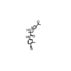 CC(=O)c1cnn(CC(C)(O)C(=O)Nc2ccc(C#N)c(C)c2)c1